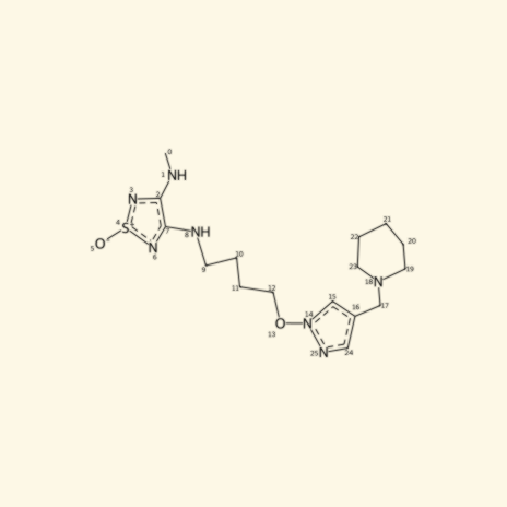 CNc1n[s+]([O-])nc1NCCCCOn1cc(CN2CCCCC2)cn1